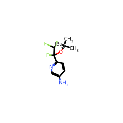 CC(C)(C)[Si](C)(C)OC(F)(c1ccc(N)cn1)C(F)F